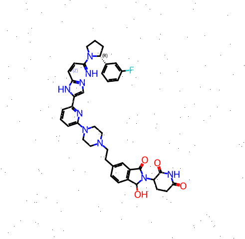 N=C(/C=C\c1ncc(-c2cccc(N3CCN(CCc4ccc5c(c4)C(=O)N(C4CCC(=O)NC4=O)C5O)CC3)n2)[nH]1)N1CCC[C@@H]1c1cccc(F)c1